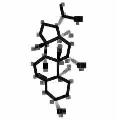 CC(O)[C@H]1CC[C@H]2[C@@H]3CC=C4C[C@@H](O)CC[C@]4(C)[C@H]3[C@@H](O)C[C@]12C